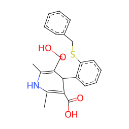 CC1=C(C(=O)O)C(c2ccccc2SCc2ccccc2)C(C(=O)O)=C(C)N1